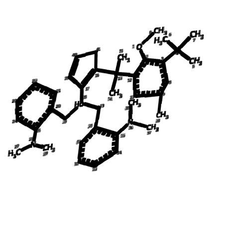 COc1c(C(C)(C)C)cc(C)cc1C(C)(C)C1=[C]([Ho]([CH2]c2ccccc2N(C)C)[CH2]c2ccccc2N(C)C)C=CC1